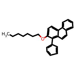 CCCCCCCOc1ccc2c(ccc3ccccc32)c1-c1ccccc1